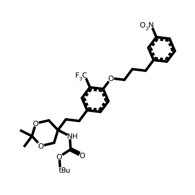 CC(C)(C)OC(=O)NC1(CCc2ccc(OCCCc3cccc([N+](=O)[O-])c3)c(C(F)(F)F)c2)COC(C)(C)OC1